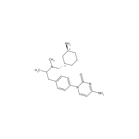 CC(Cc1ccc(-n2ccc(N)nc2=O)cc1)N(C)C[C@H]1CCC[C@H](N)C1